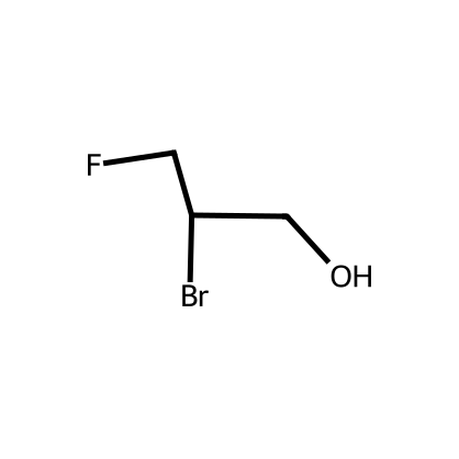 OCC(Br)CF